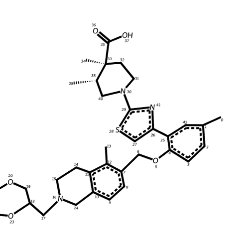 Cc1ccc(OCc2ccc3c(c2C)CCN(CC2COCCO2)C3)c(-c2csc(N3CC[C@](C)(C(=O)O)[C@@H](C)C3)n2)c1